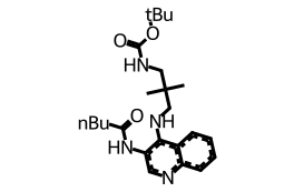 CCCCC(=O)Nc1cnc2ccccc2c1NCC(C)(C)CNC(=O)OC(C)(C)C